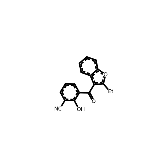 CCc1oc2ccccc2c1C(=O)c1cccc(C#N)c1O